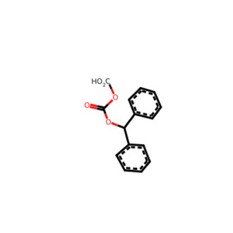 O=C(O)OC(=O)OC(c1ccccc1)c1ccccc1